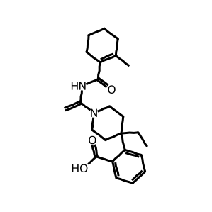 C=C(NC(=O)C1=C(C)CCCC1)N1CCC(CC)(c2ccccc2C(=O)O)CC1